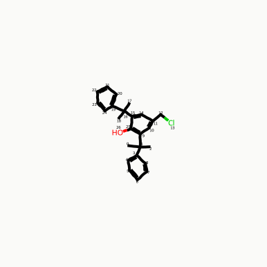 CC(C)(c1ccccc1)c1cc(CCl)cc(C(C)(C)c2ccccc2)c1O